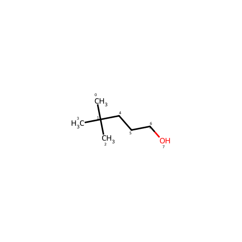 CC(C)(C)CC[CH]O